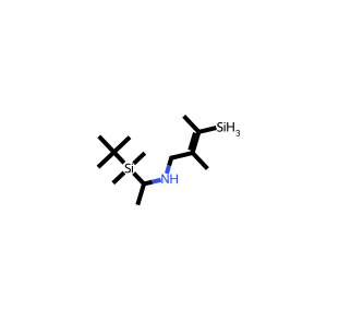 CC([SiH3])=C(C)CNC(C)[Si](C)(C)C(C)(C)C